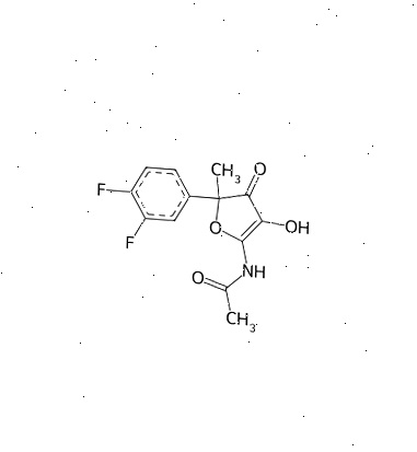 CC(=O)NC1=C(O)C(=O)C(C)(c2ccc(F)c(F)c2)O1